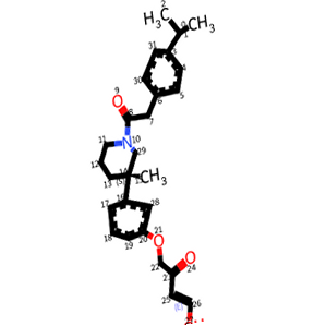 CC(C)c1ccc(CC(=O)N2CCC[C@@](C)(c3cccc(OCC(=O)/C=C/O)c3)C2)cc1